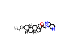 C[C@H]1CC[C@@H]2C3CC[C@@]4(C)C(CC[C@@H]4C(=O)Cn4ncc5ccncc54)[C@@H]3CC[C@@H]2C1